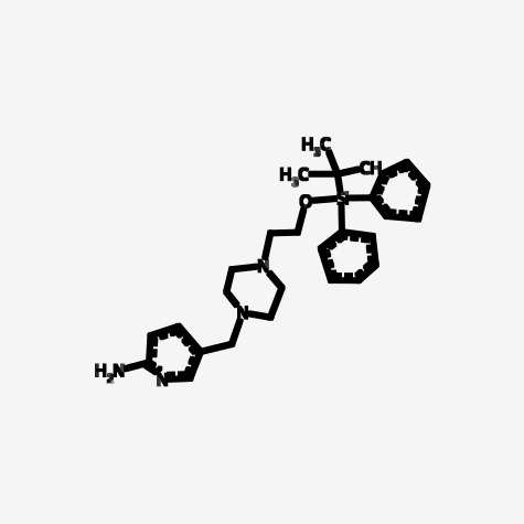 CC(C)(C)[Si](OCCN1CCN(Cc2ccc(N)nc2)CC1)(c1ccccc1)c1ccccc1